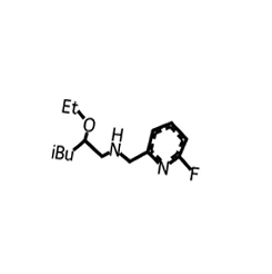 CCOC(CNCc1cccc(F)n1)C(C)CC